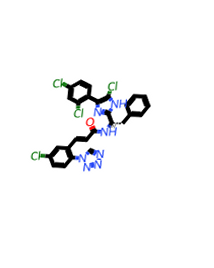 O=C(C=Cc1cc(Cl)ccc1-n1cnnn1)N[C@@H](Cc1ccccc1)c1nc(-c2ccc(Cl)cc2Cl)c(Cl)[nH]1